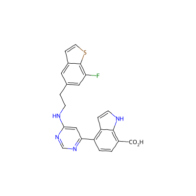 O=C(O)c1ccc(-c2cc(NCCc3cc(F)c4sccc4c3)ncn2)c2cc[nH]c12